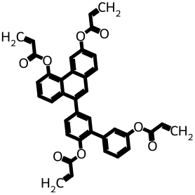 C=CC(=O)Oc1cccc(-c2cc(-c3cc4ccc(OC(=O)C=C)cc4c4c(OC(=O)C=C)cccc34)ccc2OC(=O)C=C)c1